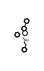 c1ccc(CCNC[C@H]2CCc3cc(-c4ccccc4)ccc3[C@H]2c2ccccc2)cc1